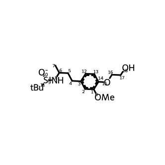 COc1cc(CCC(C)N[S+]([O-])C(C)(C)C)ccc1OCCO